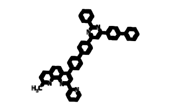 Cc1ccc2ccc3c(-c4ccc(-c5ccc(-c6cc(-c7ccc(-c8ccccc8)cc7)nc(-c7ccccc7)n6)cc5)cc4)cc(-c4ccccn4)nc3c2n1